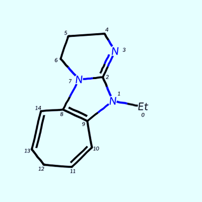 CCN1C2=NCCCN2C2=C1C=CCC=C2